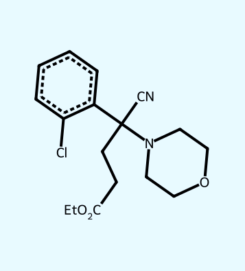 CCOC(=O)CCC(C#N)(c1ccccc1Cl)N1CCOCC1